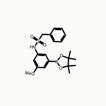 COc1cc(NS(=O)(=O)Cc2ccccc2)cc(B2OC(C)(C)C(C)(C)O2)c1